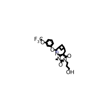 Cn1c2c(c(=O)n(CCCO)c1=O)CC1CC(C1)/C(Oc1cccc(OC(F)(F)F)c1)=N\2